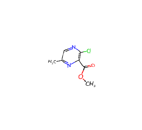 COC(=O)c1nc(C)cnc1Cl